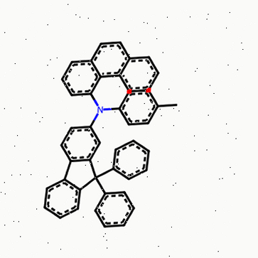 Cc1ccc(N(c2ccc3c(c2)C(c2ccccc2)(c2ccccc2)c2ccccc2-3)c2cccc3ccc4ccccc4c23)cc1